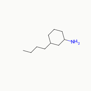 CCCCC1CCCC(N)C1